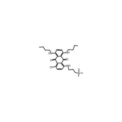 CCCCNc1ccc(NCCCC)c2c1C(=O)c1c(Cl)ccc(NCCC[N+](C)(C)C)c1C2=O